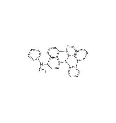 CN(c1ccccc1)c1ccc(N(c2ccccc2-c2ccccc2)c2ccccc2-c2ccccc2)cc1